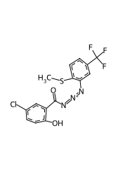 CSc1ccc(C(F)(F)F)cc1N=[N+]=NC(=O)c1cc(Cl)ccc1O